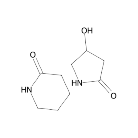 O=C1CC(O)CN1.O=C1CCCCN1